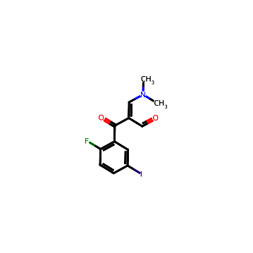 CN(C)C=C(C=O)C(=O)c1cc(I)ccc1F